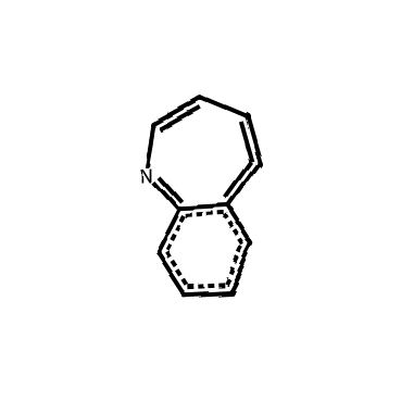 C1=CC=CN=c2ccccc2=1